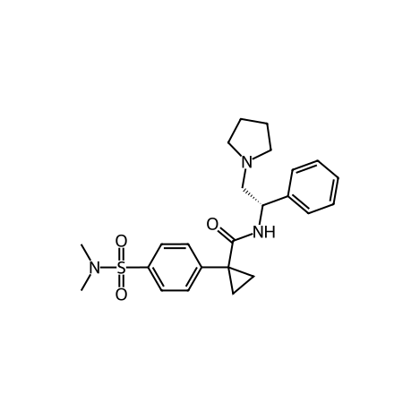 CN(C)S(=O)(=O)c1ccc(C2(C(=O)N[C@H](CN3CCCC3)c3ccccc3)CC2)cc1